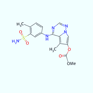 COC(=O)Oc1cn2ncnc(Nc3ccc(C)c(S(N)(=O)=O)c3)c2c1C